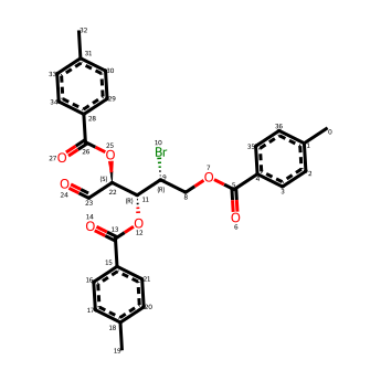 Cc1ccc(C(=O)OC[C@@H](Br)[C@H](OC(=O)c2ccc(C)cc2)[C@@H](C=O)OC(=O)c2ccc(C)cc2)cc1